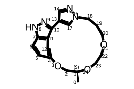 C[C@H]1COc2ccc3[nH]nc(c3c2)-c2cnn(c2)CCCOCCO1